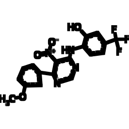 COc1cccc(-c2ncnc(Nc3ccc(C(F)(F)F)cc3O)c2[N+](=O)[O-])c1